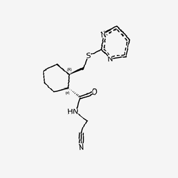 N#CCNC(=O)[C@@H]1CCCC[C@H]1CSc1ncccn1